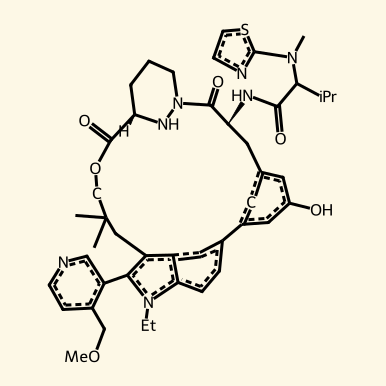 CCn1c(-c2cnccc2COC)c2c3cc(ccc31)-c1cc(O)cc(c1)C[C@H](NC(=O)C(C(C)C)N(C)c1nccs1)C(=O)N1CCC[C@H](N1)C(=O)OCC(C)(C)C2